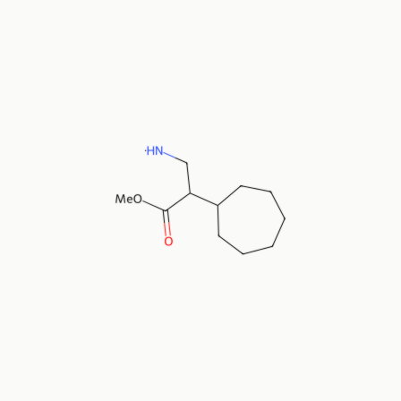 COC(=O)C(C[NH])C1CCCCCC1